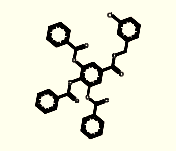 O=C(OCc1cccc(Cl)c1)c1cc(OC(=O)c2ccccc2)c(OC(=O)c2ccccc2)c(OC(=O)c2ccccc2)c1